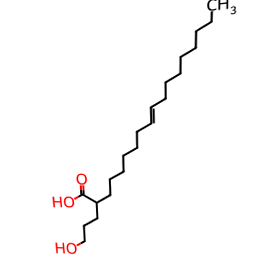 CCCCCCCCC=CCCCCCCC(CCCO)C(=O)O